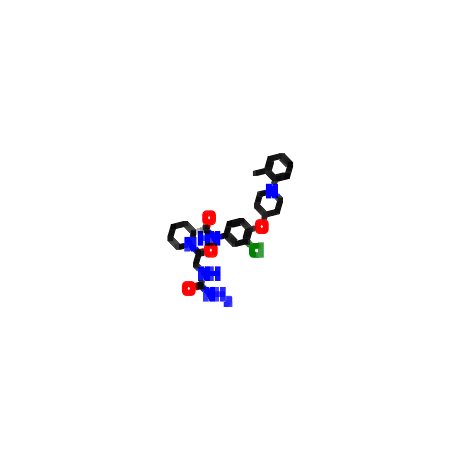 Cc1ccccc1N1CCC(Oc2ccc(NC(=O)[C@H]3CCCCN3C(=O)CNC(N)=O)cc2Cl)CC1